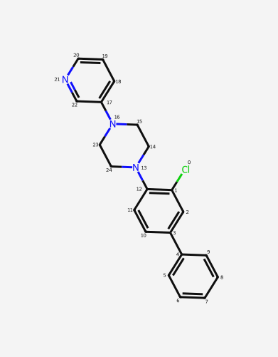 Clc1cc(-c2ccccc2)ccc1N1CCN(c2cccnc2)CC1